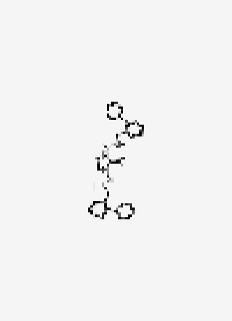 O=C1N(SNCc2ccccc2-c2ccccc2)CCN1SNCc1ccccc1-c1ccccc1